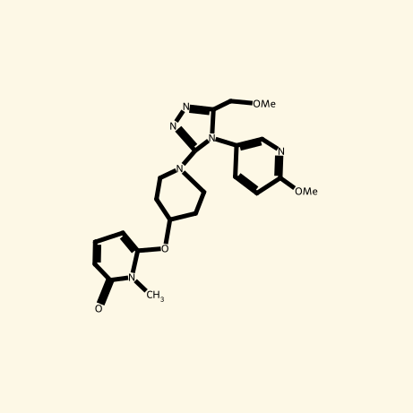 COCc1nnc(N2CCC(Oc3cccc(=O)n3C)CC2)n1-c1ccc(OC)nc1